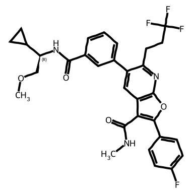 CNC(=O)c1c(-c2ccc(F)cc2)oc2nc(CCC(F)(F)F)c(-c3cccc(C(=O)N[C@@H](COC)C4CC4)c3)cc12